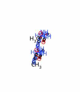 CCc1cc(Nc2nc(NC3CCC4(CC3)COC4)c(-c3ccccn3)nc2C(=O)NCN2CCN(C3CCN(c4ccc(Nc5nc(NC6CCC7(CC6)COC7)c(-c6ccccn6)nc5C(N)=O)cc4C)CC3)CC2)ccc1N1CCC(N2CCN(C)CC2)CC1